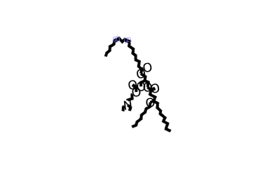 CCCCC/C=C\C/C=C\CCCCCCCC(=O)OCC(COC(=O)CCC(CCCCCCCCC)OCCCCCCCC)COC(=O)OCCCN(CC)CC